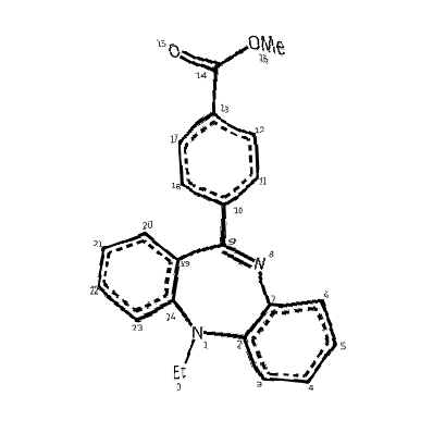 CCN1c2ccccc2N=C(c2ccc(C(=O)OC)cc2)c2ccccc21